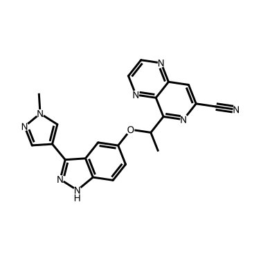 CC(Oc1ccc2[nH]nc(-c3cnn(C)c3)c2c1)c1nc(C#N)cc2nccnc12